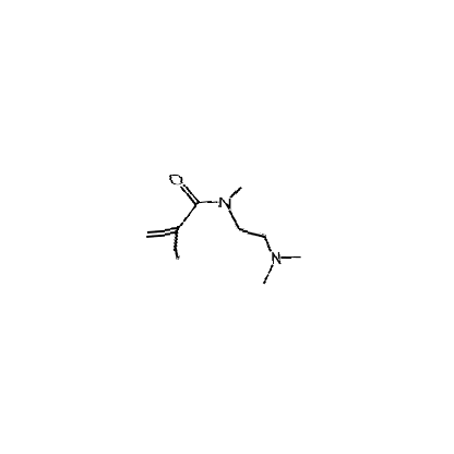 C=C(C)C(=O)N(C)CCN(C)C